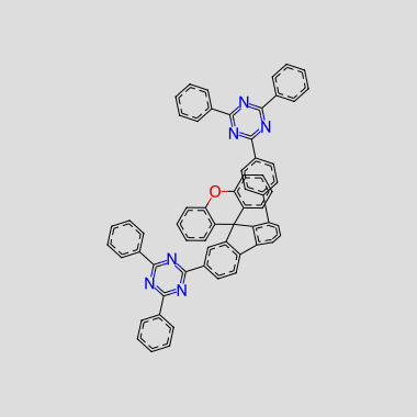 c1ccc(-c2nc(-c3ccccc3)nc(-c3ccc(-c4cccc5c4C4(c6ccccc6Oc6ccccc64)c4cc(-c6nc(-c7ccccc7)nc(-c7ccccc7)n6)ccc4-5)cc3)n2)cc1